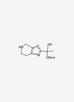 CCCCCC(C)(CCC)c1nc2c(s1)CNCC2